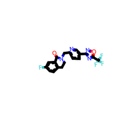 O=C1c2cc(F)ccc2CCN1Cc1ccc(-c2noc(C(F)(F)F)n2)cn1